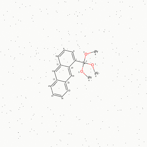 CC(C)O[Si](OC(C)C)(OC(C)C)c1cccc2cc3ccccc3cc12